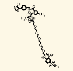 Cc1ncsc1-c1ccc(CNC(=O)C2CC(C)CN2C(=O)[C@@H](NC(=O)CCOCCOCCOCCOCCOCCNc2ccc(S(N)(=O)=O)cc2[N+](=O)[O-])C(C)(C)C)cc1